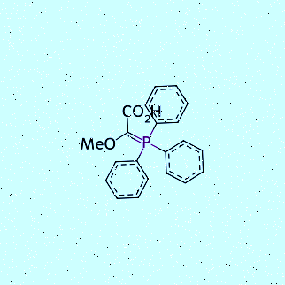 COC(C(=O)O)=P(c1ccccc1)(c1ccccc1)c1ccccc1